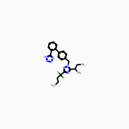 CCCC(F)(F)c1nc(C(C)CC)n(Cc2ccc(-c3ccccc3-c3nnn[nH]3)cc2)n1